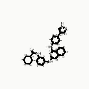 O=C(Nc1cccc(Nc2cc3ccccc3c(Nc3ccc(-c4cn[nH]c4)cc3)n2)c1)C1CCCCC1